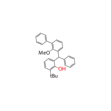 COc1c(-c2ccccc2)cccc1C(c1ccccc1)c1cccc(C(C)(C)C)c1O